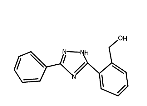 OCc1ccccc1-c1nc(-c2ccccc2)n[nH]1